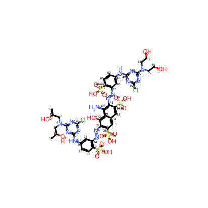 CC(O)CN(CC(C)O)c1nc(Cl)nc(Nc2ccc(S(=O)(=O)O)c(/N=N/c3c(S(=O)(=O)O)cc4cc(S(=O)(=O)O)c(/N=N/c5cc(Nc6nc(Cl)nc(N(CCO)CCO)n6)ccc5S(=O)(=O)O)c(N)c4c3O)c2)n1